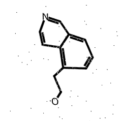 [O]CCc1cccc2cnccc12